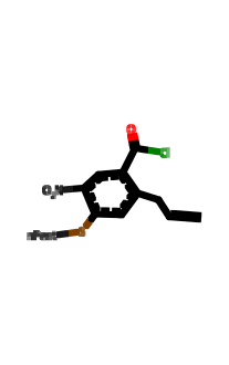 C=CCc1cc(SCCCCC)c([N+](=O)[O-])cc1C(=O)Cl